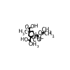 CC(C)(C)OC(=O)N1C[C@@](C)(C(=O)O)C[C@@]1(C)C(=O)O